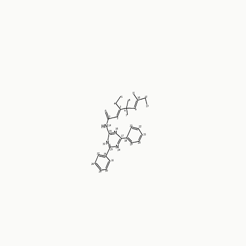 C=C(/C=C(\CC)C(C)(C)/C=C(\C)CC)Nc1nc(-c2ccccc2)nc(-c2ccccc2)n1